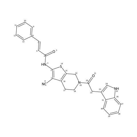 N#Cc1c(NC(=O)C=Cc2ccccc2)sc2c1CCN(C(=O)Cc1c[nH]c3ccccc13)C2